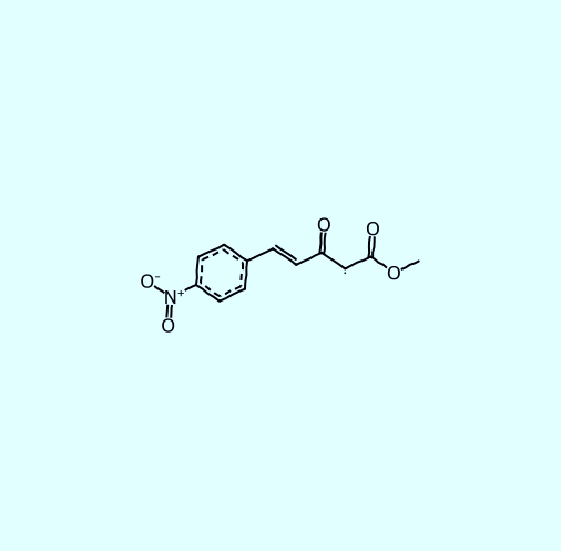 COC(=O)[CH]C(=O)C=Cc1ccc([N+](=O)[O-])cc1